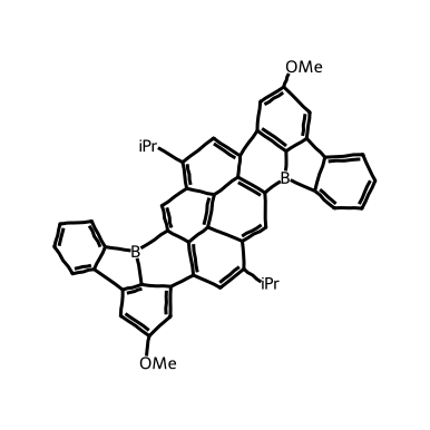 COc1cc2c3c(c1)-c1cc(C(C)C)c4cc5c6c(cc(C(C)C)c7cc(c1c4c76)B3c1ccccc1-2)-c1cc(OC)cc2c1B5c1ccccc1-2